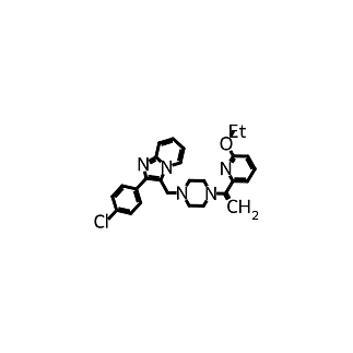 C=C(c1cccc(OCC)n1)N1CCN(Cc2c(-c3ccc(Cl)cc3)nc3ccccn23)CC1